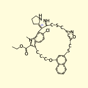 CCOC(=O)c1c2c3ccc(Cl)c(c3n1C)/C(=C1\CCCN1)C(=N)CSCc1cc(on1)CSc1cc(c3ccccc3c1)OCCC2